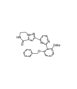 COc1cccc(OCc2ccccc2)c1-c1nccc(-c2cc3n(n2)CCNC3=O)n1